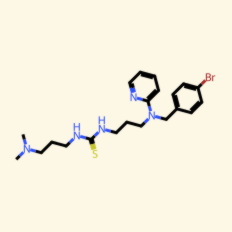 CN(C)CCCNC(=S)NCCCN(Cc1ccc(Br)cc1)c1ccccn1